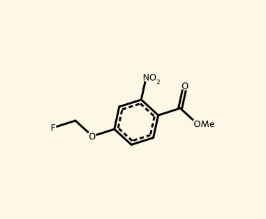 COC(=O)c1ccc(OCF)cc1[N+](=O)[O-]